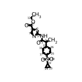 C=C(C(=O)Nc1ncc(C(=O)OCC)s1)c1ccc(S(=O)(=O)C2CC2)cc1